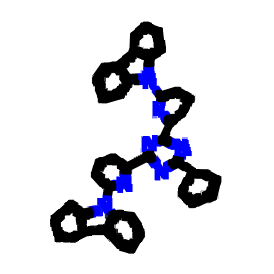 c1ccc(-c2nc(-c3cccc(-n4c5ccccc5c5ccccc54)n3)nc(-c3cccc(-n4c5ccccc5c5ccccc54)n3)n2)cc1